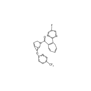 O=C(C1=C(c2ncc(F)cn2)CC=CC=C1)N1CC2CCC1C(Oc1ccc(C(F)(F)F)cn1)C2